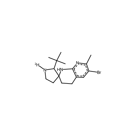 [2H]N1CCC2(CCc3cc(Br)c(C)nc3N2)C1C(C)(C)C